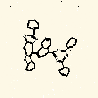 c1ccc(-c2nc(-c3ccccc3)nc(-c3ccc(-c4c5nc(-c6ccccc6)oc5cc5oc6ccccc6c45)c4ccccc34)n2)cc1